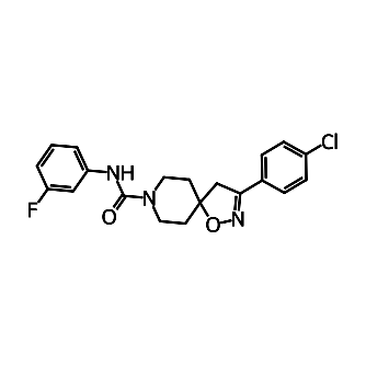 O=C(Nc1cccc(F)c1)N1CCC2(CC1)CC(c1ccc(Cl)cc1)=NO2